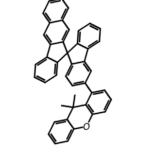 CC1(C)c2ccccc2Oc2cccc(-c3ccc4c(c3)-c3ccccc3C43c4ccccc4-c4cc5ccccc5cc43)c21